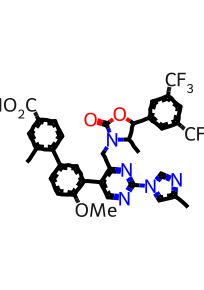 COc1ccc(-c2ccc(C(=O)O)cc2C)cc1-c1cnc(-n2cnc(C)c2)nc1CN1C(=O)OC(c2cc(C(F)(F)F)cc(C(F)(F)F)c2)C1C